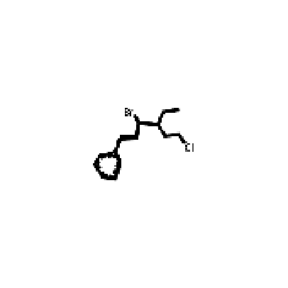 CCC(CCCl)C(Br)/C=C/c1ccccc1